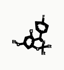 CCOc1cc(Cl)c2c(c1)OC(CC)(CC)N=C2c1ccc(F)cc1